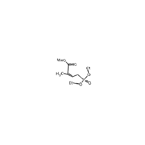 CCOP(=O)(CC=C(C)C(=O)OC)OCC